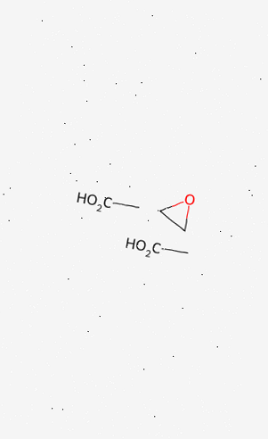 C1CO1.CC(=O)O.CC(=O)O